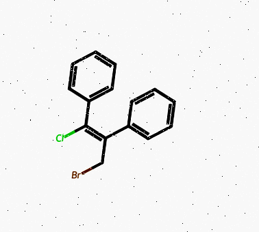 Cl/C(=C(\CBr)c1ccccc1)c1ccccc1